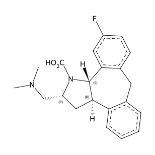 CN(C)C[C@H]1C[C@@H]2c3ccccc3Cc3ccc(F)cc3[C@H]2N1C(=O)O